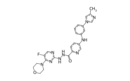 Cc1cn(-c2cccc(Nc3ccc(C(=O)NNc4ncc(F)c(N5CCOCC5)n4)nc3)c2)cn1